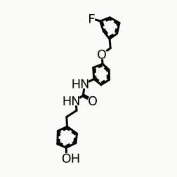 O=C(NCCc1ccc(O)cc1)Nc1cccc(OCc2cccc(F)c2)c1